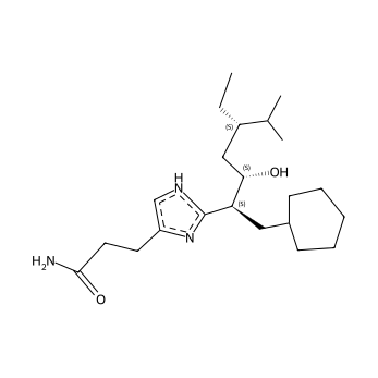 CC[C@@H](C[C@H](O)[C@@H](CC1CCCCC1)c1nc(CCC(N)=O)c[nH]1)C(C)C